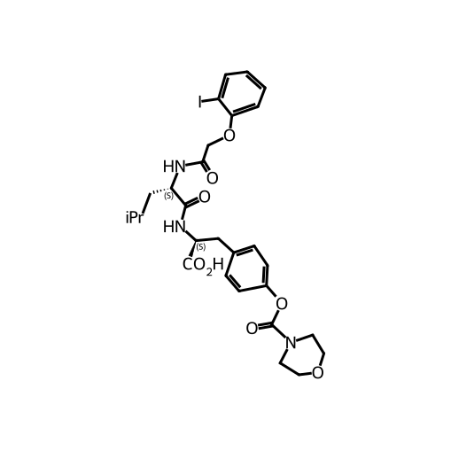 CC(C)C[C@H](NC(=O)COc1ccccc1I)C(=O)N[C@@H](Cc1ccc(OC(=O)N2CCOCC2)cc1)C(=O)O